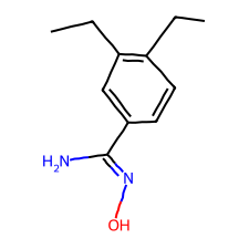 CCc1ccc(/C(N)=N/O)cc1CC